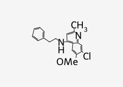 COc1cc2c(NCCc3ccccc3)cc(C)nc2cc1Cl